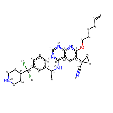 C=CCCCCOc1nc2ncnc(NC(C)c3cccc(C(F)(F)C4CCNCC4)c3)c2cc1C1(C#N)CC1